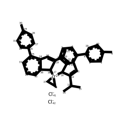 Cc1ccc(-c2cccc3c2C=C(C(C)C)[CH]3[Zr+2]2([CH]3C(C(C)C)=Cc4c(-c5ccc(C)cc5)cccc43)[CH2][CH2]2)cc1.[Cl-].[Cl-]